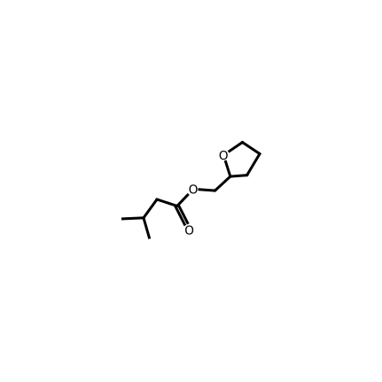 CC(C)CC(=O)OCC1CCCO1